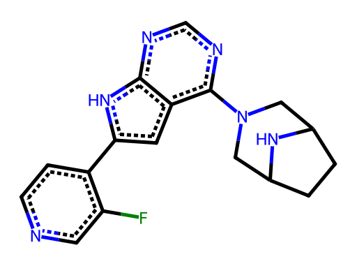 Fc1cnccc1-c1cc2c(N3CC4CCC(C3)N4)ncnc2[nH]1